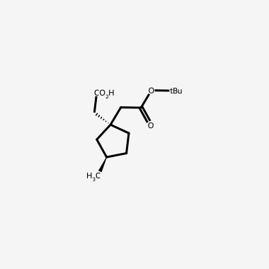 C[C@@H]1CC[C@](CC(=O)O)(CC(=O)OC(C)(C)C)C1